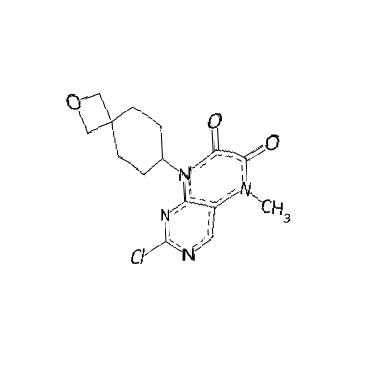 Cn1c(=O)c(=O)n(C2CCC3(CC2)COC3)c2nc(Cl)ncc21